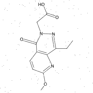 CCc1nn(CC(=O)O)c(=O)c2ccc(OC)nc12